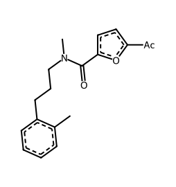 CC(=O)c1ccc(C(=O)N(C)CCCc2ccccc2C)o1